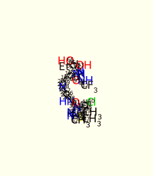 CCc1cc(-c2nnc(C(=O)NCC(F)(F)F)n2-c2ccc(CC3CCN(Cc4ccc(CNC(=O)C[C@@H]5N=C(c6ccc(Cl)cc6)c6c(sc(C)c6C)-n6c(C)nnc65)cc4)CC3)cc2)c(O)cc1O